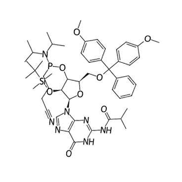 COc1ccc(C(OC[C@H]2O[C@@H](n3cnc4c(=O)[nH]c(NC(=O)C(C)C)nc43)[C@@H](O[Si](C)(C)C(C)(C)C)C2OP(CCCC#N)N(C(C)C)C(C)C)(c2ccccc2)c2ccc(OC)cc2)cc1